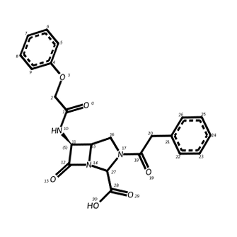 O=C(COc1ccccc1)N[C@@H]1C(=O)N2C1CN(C(=O)Cc1ccccc1)C2C(=O)O